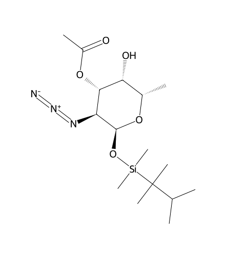 CC(=O)O[C@@H]1[C@H](O)[C@H](C)O[C@@H](O[Si](C)(C)C(C)(C)C(C)C)[C@H]1N=[N+]=[N-]